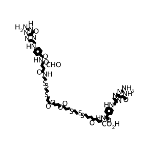 Nc1nc2ncc(CNc3ccc(C(=O)NC(CCC(=O)NCCSSCCSCCC(=O)OCCOC(=O)CCSCCSSCCCC(=O)CCC(NC(=O)c4ccc(NCc5cnc6nc(N)[nH]c(=O)c6n5)cc4)C(=O)O)OC=O)cc3)nc2c(=O)[nH]1